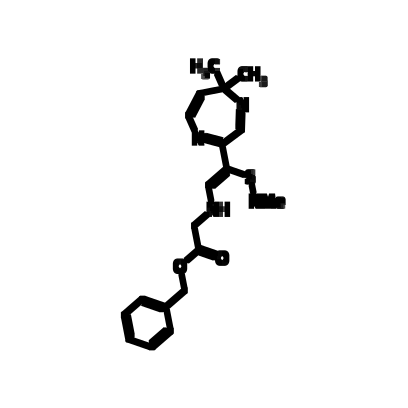 CNS/C(=C\NCC(=O)OCc1ccccc1)C1=NC=CC(C)(C)N=C1